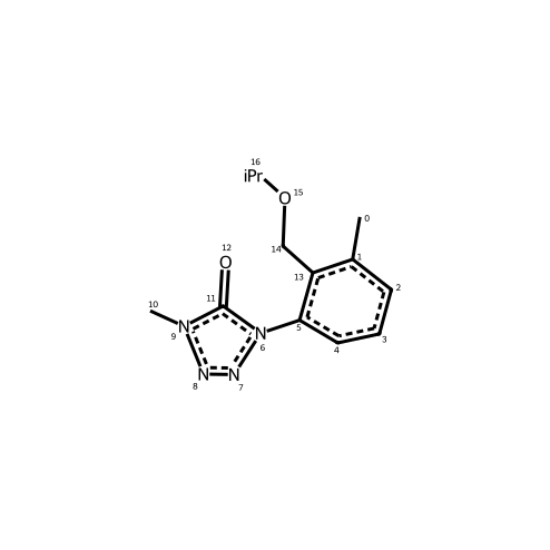 Cc1cccc(-n2nnn(C)c2=O)c1COC(C)C